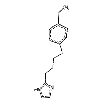 N#CCc1ccc(CCCCc2ncc[nH]2)cc1